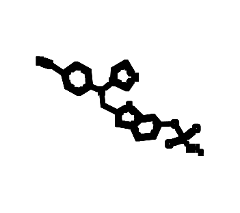 N#Cc1ccc(N(Cc2cc3ccc(OS(N)(=O)=O)cc3s2)n2ccnc2)cc1